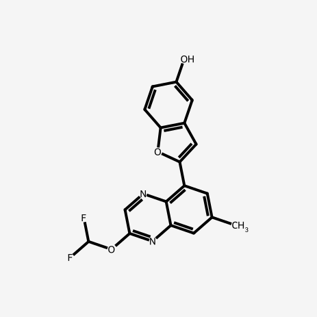 Cc1cc(-c2cc3cc(O)ccc3o2)c2ncc(OC(F)F)nc2c1